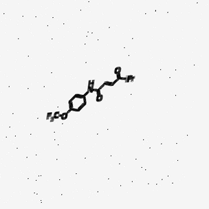 CC(C)C(=O)/C=C/C(=O)Nc1ccc(OC(F)(F)F)cc1